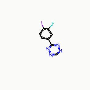 Fc1cc(-c2nncnn2)ccc1I